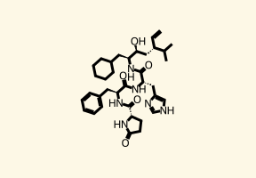 C=C[C@@H](C[C@H](O)[C@H](CC1CCCCC1)NC(=O)[C@H](Cc1c[nH]cn1)NC(=O)[C@H](Cc1ccccc1)NC(=O)[C@@H]1CCC(=O)N1)C(C)C